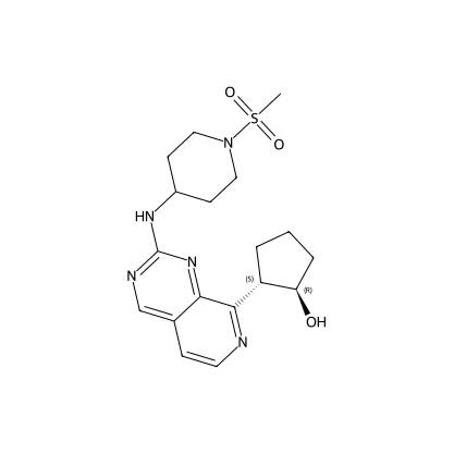 CS(=O)(=O)N1CCC(Nc2ncc3ccnc([C@@H]4CCC[C@H]4O)c3n2)CC1